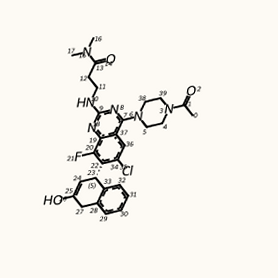 CC(=O)N1CCN(c2nc(NCCC(=O)N(C)C)nc3c(F)c([C@H]4C=C(O)Cc5ccccc54)c(Cl)cc23)CC1